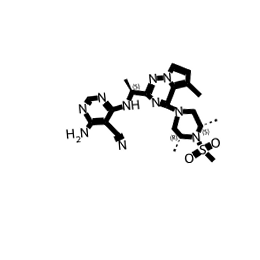 Cc1ccn2nc([C@H](C)Nc3ncnc(N)c3C#N)nc(N3C[C@@H](C)N(S(C)(=O)=O)[C@@H](C)C3)c12